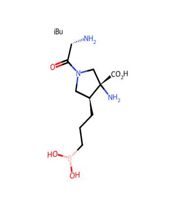 CC[C@H](C)[C@H](N)C(=O)N1C[C@H](CCCB(O)O)[C@](N)(C(=O)O)C1